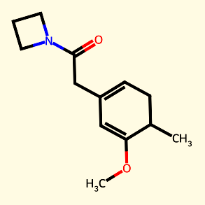 COC1=CC(CC(=O)N2CCC2)=CCC1C